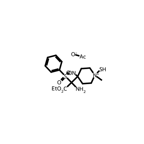 CC(=O)[O-].CCOC(=O)C(N)(C1(N=O)CC[N+](C)(S)CC1)S(=O)(=O)c1ccccc1